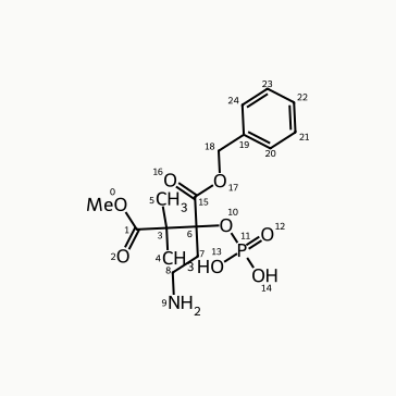 COC(=O)C(C)(C)C(CCN)(OP(=O)(O)O)C(=O)OCc1ccccc1